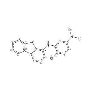 CCN(CC)c1ccc(Cl)c(Nc2cccc3c2Cc2ccccc2-3)c1